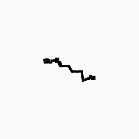 CC(=O)CCCCC=NC(C)(C)C